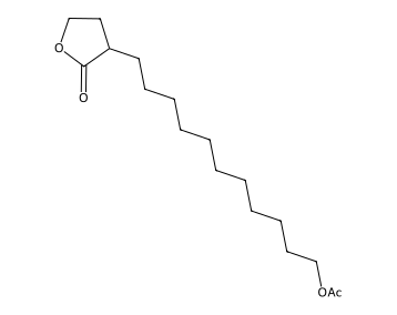 CC(=O)OCCCCCCCCCCCC1CCOC1=O